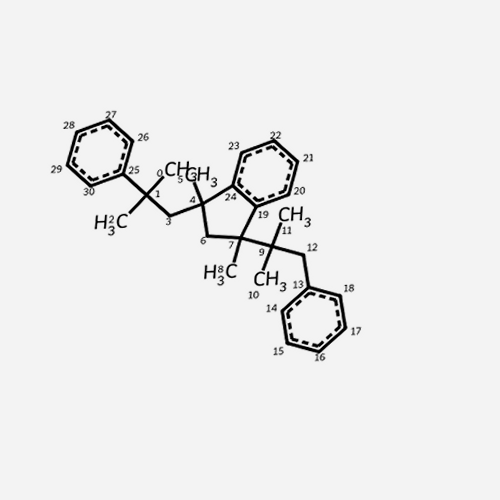 CC(C)(CC1(C)CC(C)(C(C)(C)Cc2ccccc2)c2ccccc21)c1ccccc1